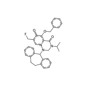 CC(C)N1CN(C2c3ccccc3CCc3ccccc32)n2cc(CF)c(=O)c(OCc3ccccc3)c2C1=O